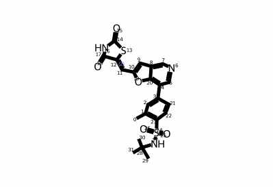 Cc1cc(-c2cncc3cc(/C=C4\SC(=O)NC4=O)oc23)ccc1S(=O)(=O)NC(C)(C)C